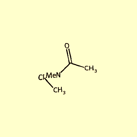 CCl.CNC(C)=O